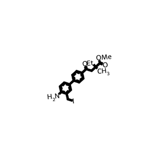 CCC(C)(CC(=O)c1ccc(-c2ccc(N)c(CI)c2)cc1)C(=O)OC